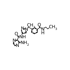 CCCNC(=O)c1cccc(C(C)n2cc(NC(=O)c3nccnc3N)cn2)c1